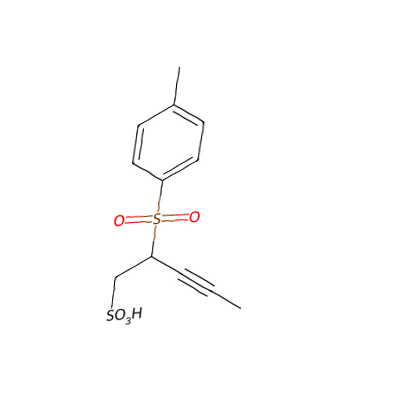 CC#CC(CS(=O)(=O)O)S(=O)(=O)c1ccc(C)cc1